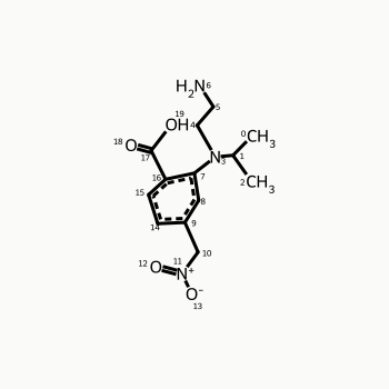 CC(C)N(CCN)c1cc(C[N+](=O)[O-])ccc1C(=O)O